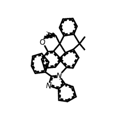 CC1(C)c2ccccc2C2(c3ccccc3Oc3ccccc32)c2cc(-n3c(-c4ccccc4)nc4ccccc43)ccc21